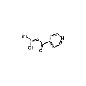 CC(C)/C(O)=C/C(=O)c1ccncn1